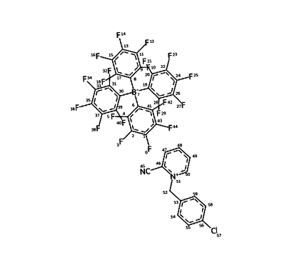 Fc1c(F)c(F)c([B-](c2c(F)c(F)c(F)c(F)c2F)(c2c(F)c(F)c(F)c(F)c2F)c2c(F)c(F)c(F)c(F)c2F)c(F)c1F.N#Cc1cccc[n+]1Cc1ccc(Cl)cc1